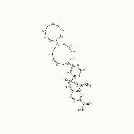 COc1cc(C(=O)O)ccc1NS(=O)(=O)c1cncc(C2CCCCCC(C3CCCCCCCC3)CCCC2)c1